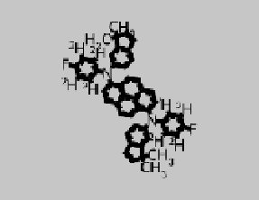 [2H]c1c([2H])c(N(c2ccc3c(c2)C(C)(C)C=C3)c2ccc3ccc4c(N(c5ccc6c(c5)C(C)(C)C=C6)c5c([2H])c([2H])c(F)c([2H])c5[2H])ccc5ccc2c3c54)c([2H])c([2H])c1F